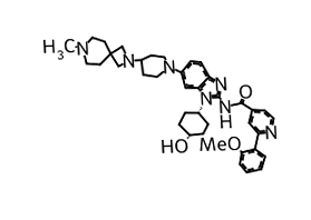 COc1ccccc1-c1cc(C(=O)Nc2nc3ccc(N4CCC(N5CC6(CCN(C)CC6)C5)CC4)cc3n2[C@H]2CC[C@@H](O)CC2)ccn1